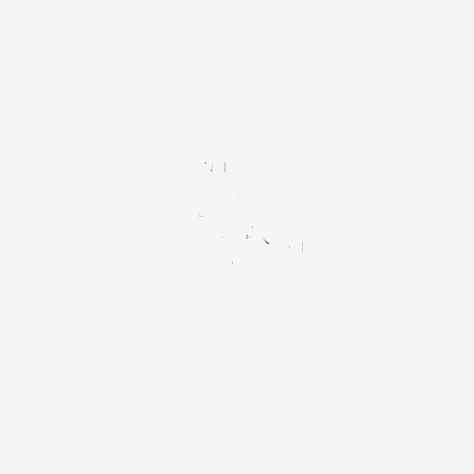 CNC(C)(C)[C@@H](CC1CCCCC1)C(=O)[C@@]1(CO)CO1